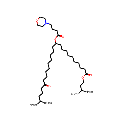 CCCCCC(CCCCC)CCCC(=O)CCCCCCCCCC(CCCCCCCCCC(=O)OCCC(CCCCC)CCCCC)OC(=O)CCCN1CCOCC1